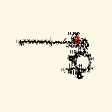 CCCC[C@H](NC(=O)[C@H](Cc1ccccn1)NC(=O)[C@H](Cc1c[nH]cn1)NC(=O)[C@H](CCC(N)=O)NC(=O)[C@H](CO)NC(=O)CNC(=O)COCCOCCNC(=O)CCCCCCCCCCCCCCCc1nnn[nH]1)C(=O)N[C@H]1CCC(=O)NCCCC[C@@H](C(C)=O)NC(=O)[C@H](Cc2c[nH]c3ccccc23)NC(=O)[C@H](CCCNC(=N)N)NC(=O)[C@@H](Cc2ccccc2)NC(=O)[C@@H]2C[C@@H](O)CN2C1=O